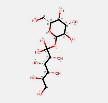 OC[C@@H](O)[C@@H](O)[C@H](O)[C@@H](O)C(O)(O)OC1O[C@H](CO)[C@@H](O)[C@H](O)[C@H]1O